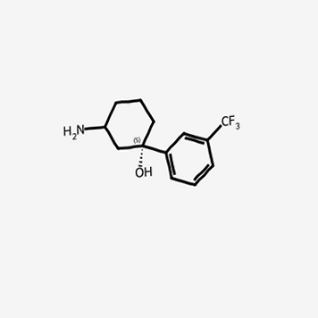 NC1CCC[C@@](O)(c2cccc(C(F)(F)F)c2)C1